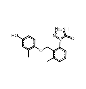 Cc1cc(O)ccc1OCc1c(C)cccc1-n1nn[nH]c1=O